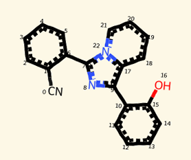 N#Cc1ccccc1-c1nc(-c2ccccc2O)c2ccccn12